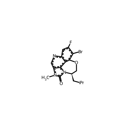 CC(C)C[C@@H]1COc2c(Br)c(F)cc3ncc4c(c23)n1c(=O)n4C